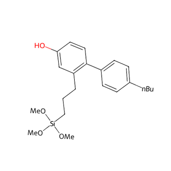 CCCCc1ccc(-c2ccc(O)cc2CCC[Si](OC)(OC)OC)cc1